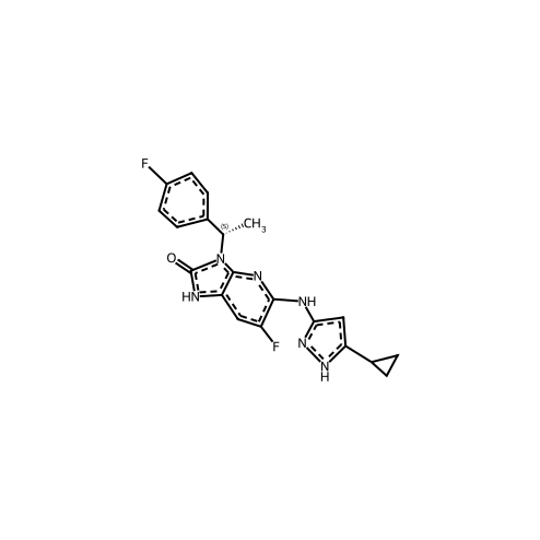 C[C@@H](c1ccc(F)cc1)n1c(=O)[nH]c2cc(F)c(Nc3cc(C4CC4)[nH]n3)nc21